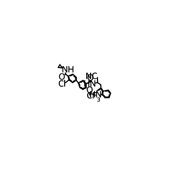 N#CCC(Cc1c[nH]c2ccccc12)NC(=O)c1cc(-c2ccc(C(=O)NC3CC3)c(Cl)c2)ccc1OC(F)(F)F